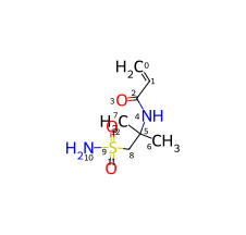 C=CC(=O)NC(C)(C)CS(N)(=O)=O